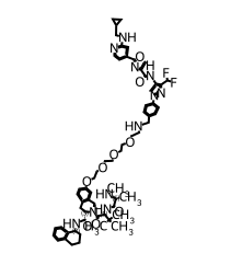 CN[C@@H](C)C(=O)N[C@H](C(=O)N1Cc2cc(OCCOCCOCCOCCNCc3ccc(-n4cc(NC(=O)c5coc(-c6ccnc(NCC7CC7)c6)n5)c(C(F)F)n4)cc3)ccc2C[C@H]1C(=O)N[C@@H]1CCCc2ccccc21)C(C)(C)C